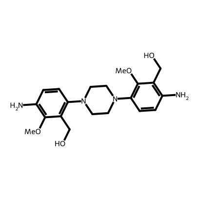 COc1c(N)ccc(N2CCN(c3ccc(N)c(CO)c3OC)CC2)c1CO